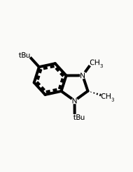 C[C@H]1N(C)c2cc(C(C)(C)C)ccc2N1C(C)(C)C